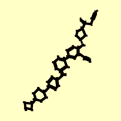 N#CCC(=O)N1CC[C@@H](Oc2ccc(-c3nccc(Nc4ccc(N5CCN(C6COC6)CC5)cc4)n3)cc2C#N)C1